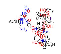 CCN(C(=O)OCc1ccc(NC(=O)[C@H](CCCNC(N)=O)NC(=O)[C@@H](NC(=O)[C@H](CCCCN)NC(C)=O)C(C)C)cc1)[C@H]1CO[C@@H](O[C@H]2[C@H](O[C@H]3C#CC=CC#C[C@]4(O)CC(=O)C(NC(=O)OC)=C3/C4=C\CSSc3ccccc3C(=O)O)O[C@H](C)[C@@H](NO[C@H]3C[C@H](O)[C@H](SC(=O)c4c(C)c(I)c(O[C@@H]5O[C@@H](C)[C@H](O)[C@@H](OC)[C@H]5O)c(OC)c4OC)[C@@H](C)O3)[C@@H]2O)C[C@@H]1OC